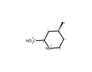 C[C@H]1CCNC(C(=O)O)C1